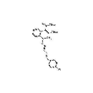 COC=C(C(=O)OC)c1ccccc1C(C)ON=CC=Cc1ccc(Cl)cc1